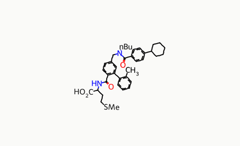 CCCCN(Cc1ccc(C(=O)NC(CCSC)C(=O)O)c(-c2ccccc2C)c1)C(=O)c1ccc(C2CCCCC2)cc1